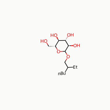 CCCCC(CC)COC1O[C@H](CO)[C@@H](O)[C@H](O)[C@H]1O